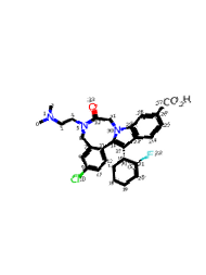 CN(C)CCN1Cc2cc(Cl)ccc2-c2c([C@H]3CCCC[C@@H]3F)c3ccc(C(=O)O)cc3n2CC1=O